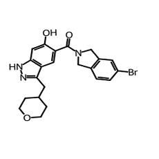 O=C(c1cc2c(CC3CCOCC3)n[nH]c2cc1O)N1Cc2ccc(Br)cc2C1